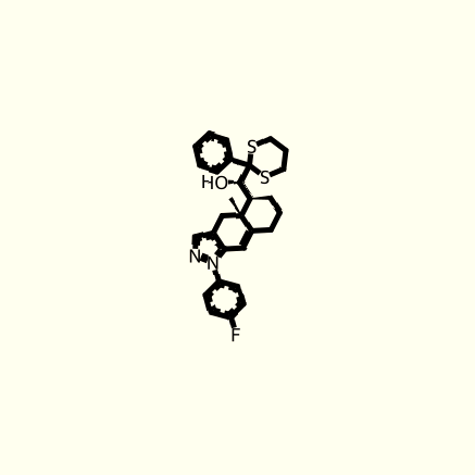 C[C@]12Cc3cnn(-c4ccc(F)cc4)c3C=C1CCC[C@@H]2[C@@H](O)C1(c2ccccc2)SCCCS1